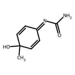 CC1(O)C=CC(=NC(N)=O)C=C1